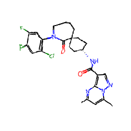 Cc1cc(C)n2ncc(C(=O)N[C@H]3CC[C@@]4(CCCN(c5cc(F)c(F)cc5Cl)C4=O)CC3)c2n1